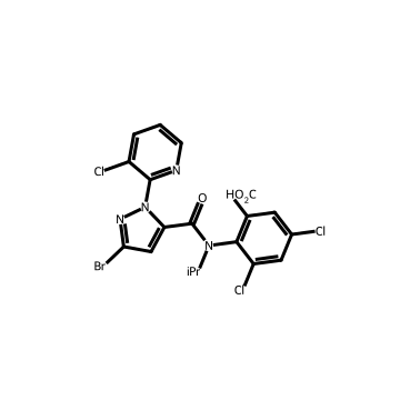 CC(C)N(C(=O)c1cc(Br)nn1-c1ncccc1Cl)c1c(Cl)cc(Cl)cc1C(=O)O